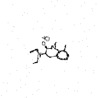 CCN(CC)C1Cc2cccc(C)c2N(C)C1=O.Cl